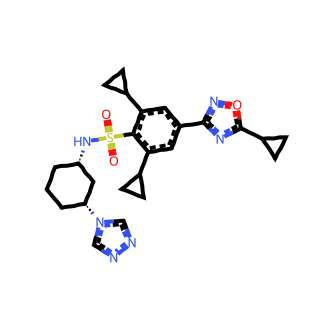 O=S(=O)(N[C@H]1CCC[C@@H](n2cnnc2)C1)c1c(C2CC2)cc(-c2noc(C3CC3)n2)cc1C1CC1